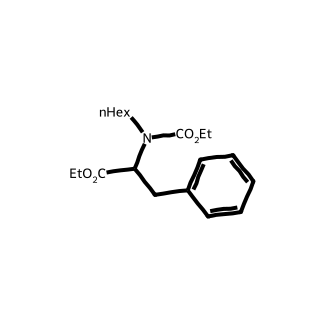 CCCCCCN(C(=O)OCC)C(Cc1ccccc1)C(=O)OCC